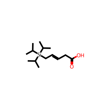 CC(C)[Si](C/C=C/CC(=O)O)(C(C)C)C(C)C